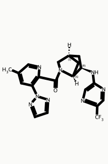 Cc1cnc(C(=O)N2C[C@H]3C[C@@H](Nc4cnc(C(F)(F)F)cn4)[C@@H]2C3)c(-n2nccn2)c1